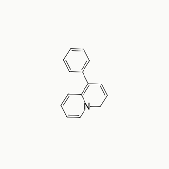 C1=CC2=C(c3ccccc3)C=CCN2C=C1